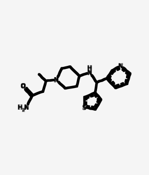 CC(CC(N)=O)N1CCC(NC(c2cccnc2)c2ccsc2)CC1